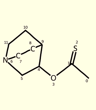 CC(=S)OC1CN2CCC1CC2